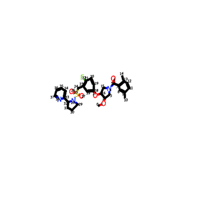 COC1CN(C(=O)c2cc(C)ccc2C)CC1Oc1ccc(F)c(CS(=O)(=O)N2CCCC2c2ccccn2)c1